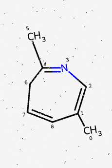 CC1=CN=C(C)CC=C1